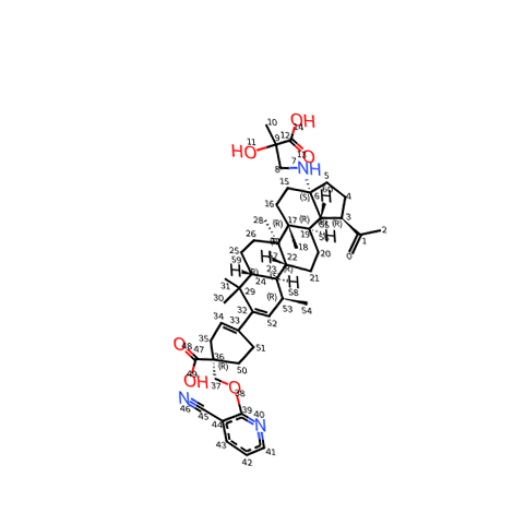 C=C(C)[C@@H]1CC[C@]2(NCC(C)(O)C(=O)O)CC[C@]3(C)[C@H](CC[C@@H]4[C@@H]5[C@@H](CC[C@]43C)C(C)(C)C(C3=CC[C@](COc4ncccc4C#N)(C(=O)O)CC3)=C[C@@H]5C)[C@@H]12